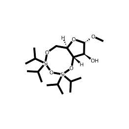 CO[C@H]1O[C@@H]2CO[Si](C(C)C)(C(C)C)O[Si](C(C)C)(C(C)C)O[C@H]2[C@@H]1O